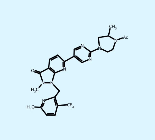 CC(=O)N1CCN(c2ncc(-c3ccc4c(=O)n(C)n(Cc5nc(C)ccc5C(F)(F)F)c4n3)cn2)CC1C